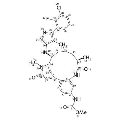 COC(=O)Nc1ccc2c(c1)NC(=O)[C@H](C)CCC[C@H](Nc1nnn(-c3cccc(Cl)c3F)c1C)c1cc-2cc(=O)n1C